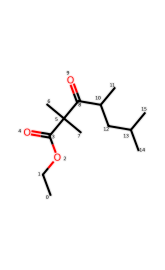 CCOC(=O)C(C)(C)C(=O)C(C)CC(C)C